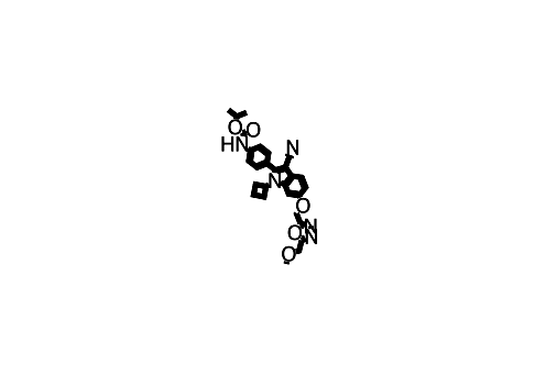 COCc1nnc(COc2ccc3c(C#N)c(-c4ccc(NC(=O)OC(C)C)cc4)n(C4CCC4)c3c2)o1